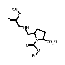 CCOC(=O)C1CCC(CNCC(=O)OC(C)(C)C)N1C(=O)OC(C)(C)C